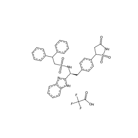 O=C(O)C(F)(F)F.O=C1CC(c2ccc(C[C@H](NS(=O)(=O)CC(c3ccccc3)c3ccccc3)c3nc4ccccc4[nH]3)cc2)S(=O)(=O)N1